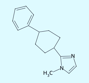 Cn1ccnc1C1CCC(c2ccccc2)CC1